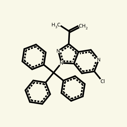 C=C(C)c1nn(C(c2ccccc2)(c2ccccc2)c2ccccc2)c2cc(Cl)ncc12